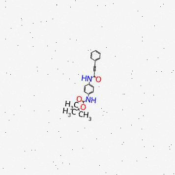 CC(C)(C)OC(=O)Nc1ccc(NC(=O)C#Cc2ccccc2)cc1